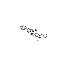 CN1CCN(c2ccc3c(c2)CN(C(=O)c2cc4c(CC5CCCCC5)n[nH]c4cc2O)C3)CC1